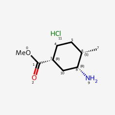 COC(=O)[C@@H]1CC[C@H](C)[C@H](N)C1.Cl